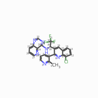 Cc1ncccc1-c1nc2c(Cl)cccc2cc1[C@@H](Nc1ncnc2cccnc12)C(F)(F)F